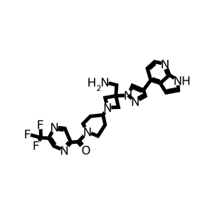 NCC1(n2cc(-c3ccnc4[nH]ccc34)cn2)CN(C2CCN(C(=O)c3cnc(C(F)(F)F)cn3)CC2)C1